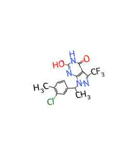 Cc1ccc(C(C)n2nc(C(F)(F)F)c3c(=O)[nH]c(O)nc32)cc1Cl